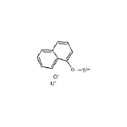 [Cl-].[Cl-].[Ti+2][O]c1cccc2ccccc12